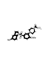 COc1ccc(S(=O)(=O)n2ccc3cc(C#N)ccc32)cc1N1CCN(C(=O)C(Cl)(Cl)Cl)CC1